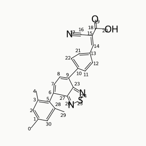 Cc1cc(C)c(-c2ccc(-c3ccc(/C=C(\C#N)C(=O)O)cc3)c3nsnc23)c(C)c1